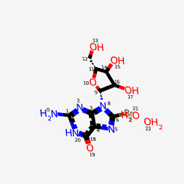 Nc1nc2c(nc(Br)n2[C@@H]2O[C@H](CO)C(O)C2O)c(=O)[nH]1.O.O